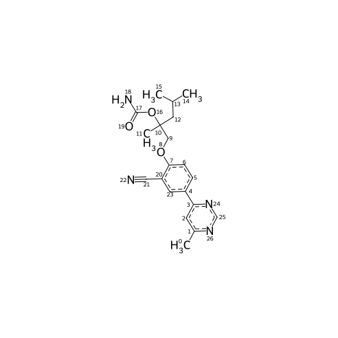 Cc1cc(-c2ccc(OCC(C)(CC(C)C)OC(N)=O)c(C#N)c2)ncn1